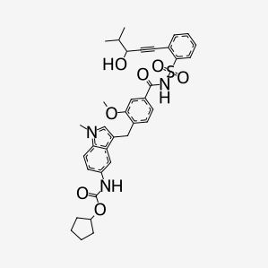 COc1cc(C(=O)NS(=O)(=O)c2ccccc2C#CC(O)C(C)C)ccc1Cc1cn(C)c2ccc(NC(=O)OC3CCCC3)cc12